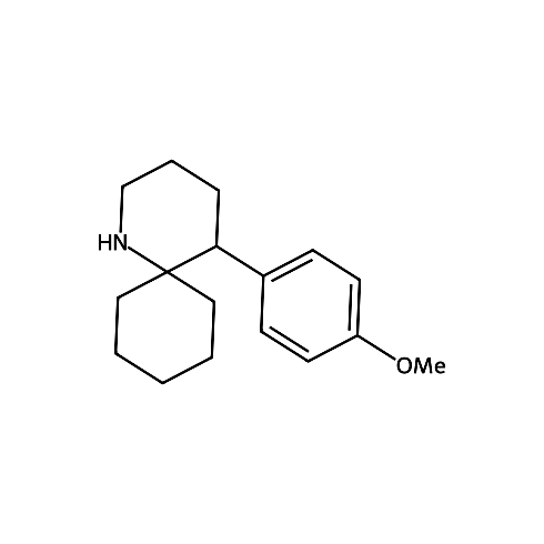 COc1ccc(C2CCCNC23CCCCC3)cc1